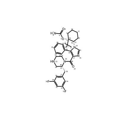 CC(C)(C)[C@@]1(OC(N)=O)CCCC[C@@H]1n1cnc(C(=O)N2CCNC[C@H]2Cc2cc(F)cc(F)c2)c1-c1ccccc1